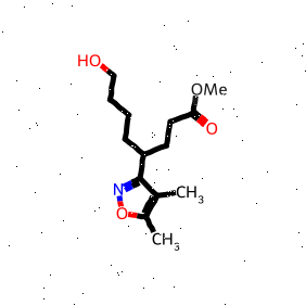 COC(=O)CCC(CCCCO)c1noc(C)c1C